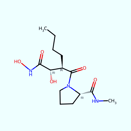 CCCC[C@@H](C(=O)N1CCC[C@H]1C(=O)NC)[C@H](O)C(=O)NO